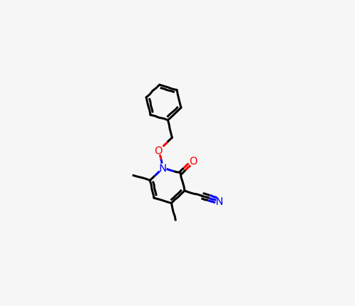 Cc1cc(C)n(OCc2ccccc2)c(=O)c1C#N